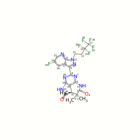 CC1(C)C(=O)Nc2nc(-c3nn(CCC(F)(F)C(F)(F)F)c4ncc(F)cc34)nc3c2[C@@]1(C)C(=O)N3